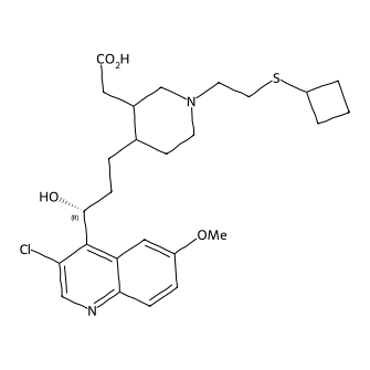 COc1ccc2ncc(Cl)c([C@H](O)CCC3CCN(CCSC4CCC4)CC3CC(=O)O)c2c1